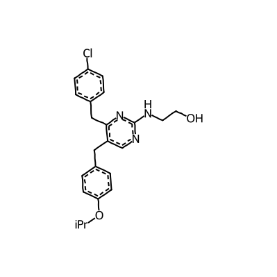 CC(C)Oc1ccc(Cc2cnc(NCCO)nc2Cc2ccc(Cl)cc2)cc1